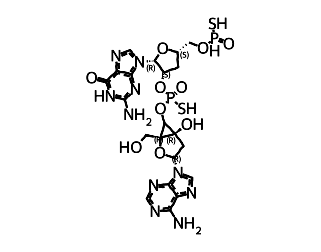 Nc1nc2c(ncn2[C@@H]2O[C@H](CO[PH](=O)S)C[C@@H]2OP(=O)(S)OC2[C@]3(O)C[C@H](n4cnc5c(N)ncnc54)O[C@]23CO)c(=O)[nH]1